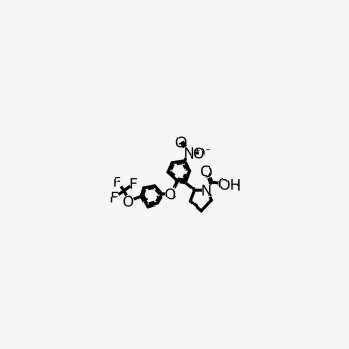 O=C(O)N1CCCC1c1cc([N+](=O)[O-])ccc1Oc1ccc(OC(F)(F)F)cc1